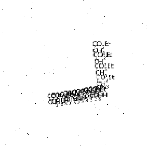 CC(C)O.CC(C)O.CCOC(C)=O.CCOC(C)=O.CCOC(C)=O.CCOC(C)=O.CCOC(C)=O.CCOC(C)=O.CCOC(C)=O.CCOC(C)=O.CCOC(C)=O.CCOC(C)=O.CCOC(C)=O.CCOC(C)=O.CCOC(C)=O.CCOC(C)=O.CCOC(C)=O